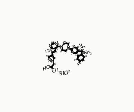 CC(O)Cn1cc(-c2cc3c(N4CCN(c5ncc(C(C)(N)c6ccc(F)cc6)cn5)CC4)ncnc3[nH]2)cn1.Cl